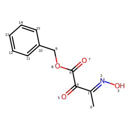 CC(=NO)C(=O)C(=O)OCc1ccccc1